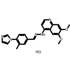 COc1cc2nccc(NN=Cc3ccc(-n4ccnc4)c(C)c3)c2cc1OC.Cl